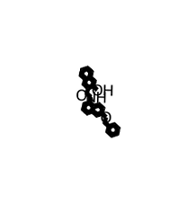 O=C(Nc1cccc2cc(OCc3ccccc3)ccc12)c1cc2ccccc2cc1O